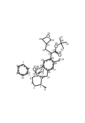 C[C@H]1CC[C@H](c2ccccc2)S(=O)(=O)N1Cc1cc(F)c(C(CC2COC2)C(=O)OC(C)(C)C)cc1F